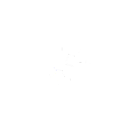 CC(C)C1=C(c2cc(C(C)(C)C)c(O)c(C(C)(C)C)c2)N=S(C)S1